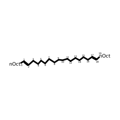 CCCCCCCCC=CCCCCCCCCCCCCCCC=CCCCCCCCC